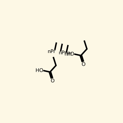 CCC(=O)O.CCC(=O)O.CCCC.CCCC.CCCC